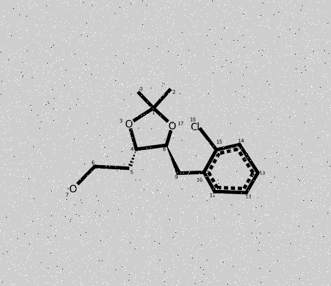 CC1(C)O[C@@H](CC[O])[C@H](Cc2ccccc2Cl)O1